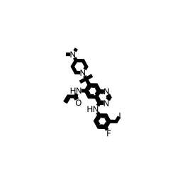 C=CC(=O)Nc1cc2c(Nc3ccc(F)c(CI)c3)ncnc2cc1C(C)(C)N1CCC(N(C)C)CC1